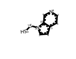 SSn1ccc2ccncc21